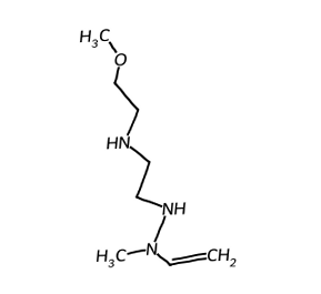 C=CN(C)NCCNCCOC